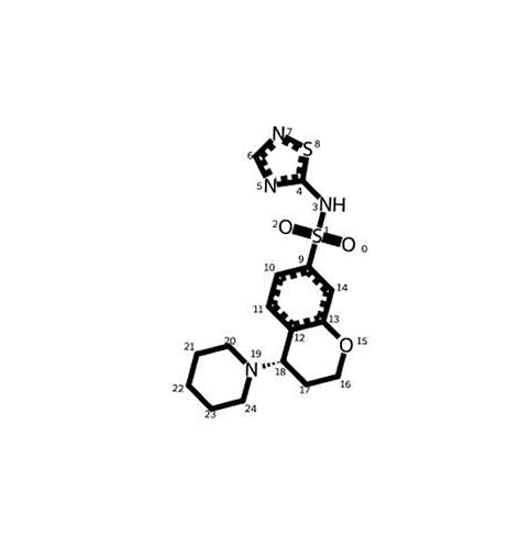 O=S(=O)(Nc1ncns1)c1ccc2c(c1)OCC[C@@H]2N1CCCCC1